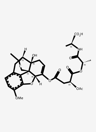 COc1ccc2c3c1O[C@H]1C(OC(=O)C[C@H](OC(C)=O)C(=O)O[C@@H](C)C(=O)N[C@@H](C)C(=O)O)=CC[C@@]4(O)[C@@H](C2)C(C)CC[C@]314